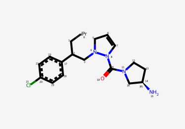 CC(C)CC(CN1CC=CN1C(=O)N1CC[C@@H](N)C1)c1ccc(Cl)cc1